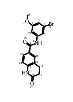 COc1cc(Br)cc(NC(=O)c2ccc3c(c2)CCC(=O)N3)c1